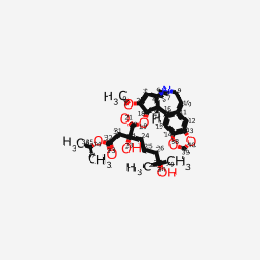 COC1=CC23CCCN2CCc2cc4c(cc2[C@@H]3C1OC(=O)C(O)(CCCC(C)(C)O)CC(=O)OC(C)C)OCO4